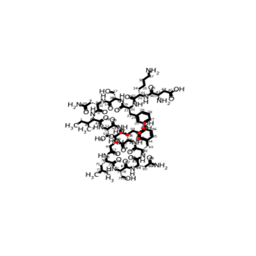 CC[C@H](C)[C@H](NC(=O)[C@H](CC(N)=O)NC(=O)[C@H](CO)NC(=O)[C@H](Cc1ccccc1)NC(=O)[C@H](CCCCN)NC(=O)[C@@H](N)CC(=O)O)C(=O)N[C@@H](CO)C(=O)N[C@@H](CCC(=O)O)C(=O)NCC(=O)N[C@@H](CC(C)C)C(=O)N[C@@H](CO)C(=O)N[C@@H](CC(N)=O)C(=O)N[C@@H](Cc1ccc(O)cc1)C(=O)N[C@@H](CO)C(=O)O